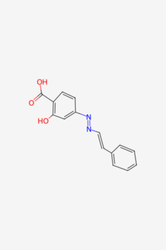 O=C(O)c1ccc(N=NC=Cc2ccccc2)cc1O